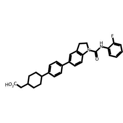 O=C(O)CC1CCC(c2ccc(-c3ccc4c(c3)CCN4C(=O)Nc3ccccc3F)cc2)CC1